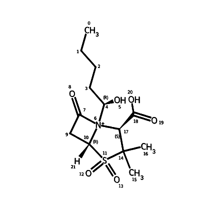 CCCC[C@@H](O)[N+]12C(=O)C[C@H]1S(=O)(=O)C(C)(C)[C@@H]2C(=O)O